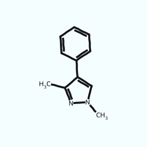 Cc1nn(C)cc1-c1ccccc1